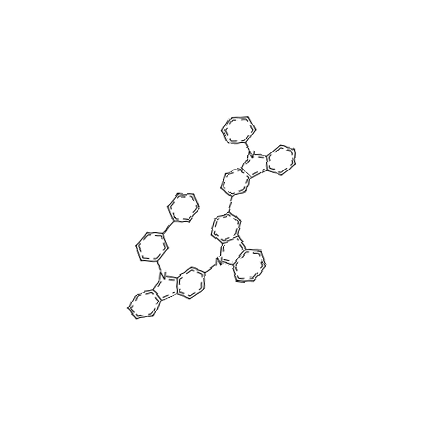 c1ccc(-c2cccc(-n3c4ccccc4c4ccc(-n5c6ccccc6c6cc(-c7ccc8c(c7)c7ccccc7n8-c7ccccc7)ccc65)cc43)c2)cc1